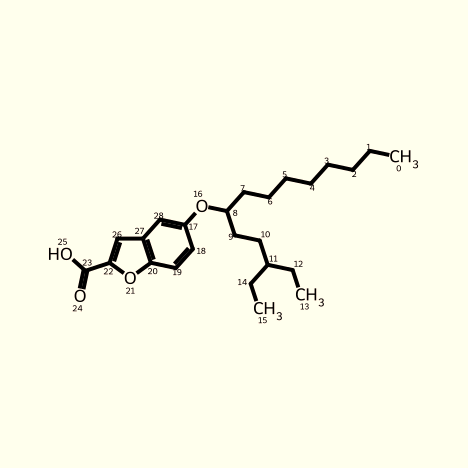 CCCCCCCCC(CCC(CC)CC)Oc1ccc2oc(C(=O)O)cc2c1